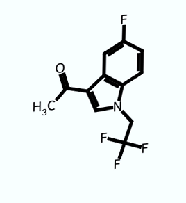 CC(=O)c1cn(CC(F)(F)F)c2ccc(F)cc12